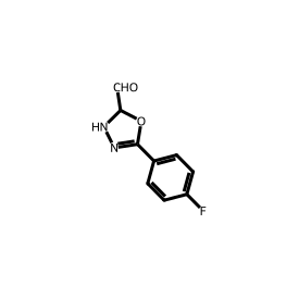 O=CC1NN=C(c2ccc(F)cc2)O1